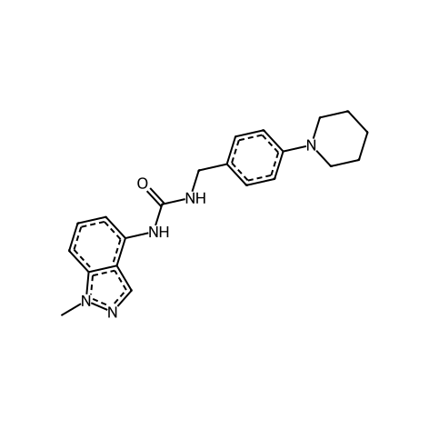 Cn1ncc2c(NC(=O)NCc3ccc(N4CCCCC4)cc3)cccc21